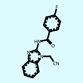 N#CCn1c(NC(=O)c2ccc(F)cc2)nc2ccccc21